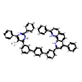 Cc1c(-c2ccccc2)nc(-c2ccccc2)nc1-c1cccc(-c2ccc(-c3cccc(-c4cc(-c5ccccc5)c5ccc6ccc(-c7ccccc7)nc6c5n4)c3)cc2)c1